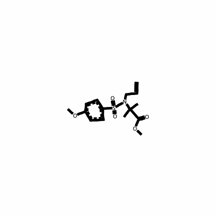 C=CCN(C(C)(C)C(=O)OC)S(=O)(=O)c1ccc(OC)cc1